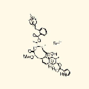 CO[C@H]1CC2C=C[C@H]3[C@H]4O[C@]2(/C(C)=C/[C@@H](C)[C@@H](C(C)OC(=O)c2ccccc2C[N+]25CC[N+](C)(CC2)CC5)OC1=O)[C@@H]3[C@H](O)[C@@H](C)[C@H]4OC(=O)c1ccc[nH]1.[Br-].[I-]